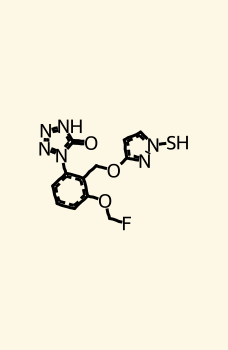 O=c1[nH]nnn1-c1cccc(OCF)c1COc1ccn(S)n1